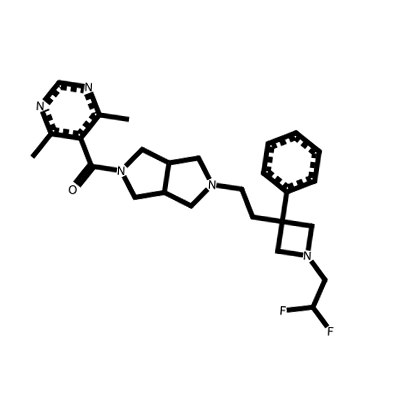 Cc1ncnc(C)c1C(=O)N1CC2CN(CCC3(c4ccccc4)CN(CC(F)F)C3)CC2C1